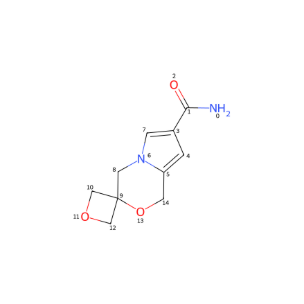 NC(=O)c1cc2n(c1)CC1(COC1)OC2